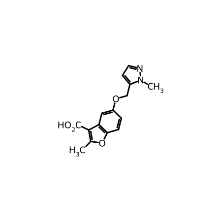 Cc1oc2ccc(OCc3ccnn3C)cc2c1C(=O)O